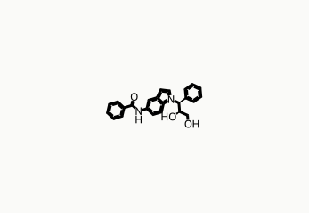 O=C(Nc1ccc2c(ccn2[C@@H](c2ccccc2)[C@H](O)CO)c1)c1ccccc1